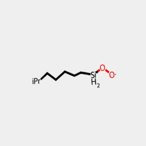 CC(C)CCCCC[SiH2]O[O]